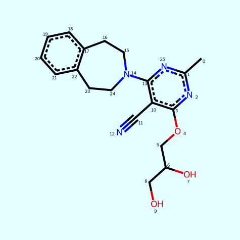 Cc1nc(OCC(O)CO)c(C#N)c(N2CCc3ccccc3CC2)n1